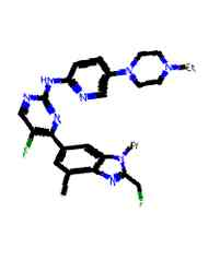 CCN1CCN(c2ccc(Nc3ncc(F)c(-c4cc(C)c5nc(CF)n(C(C)C)c5c4)n3)nc2)CC1